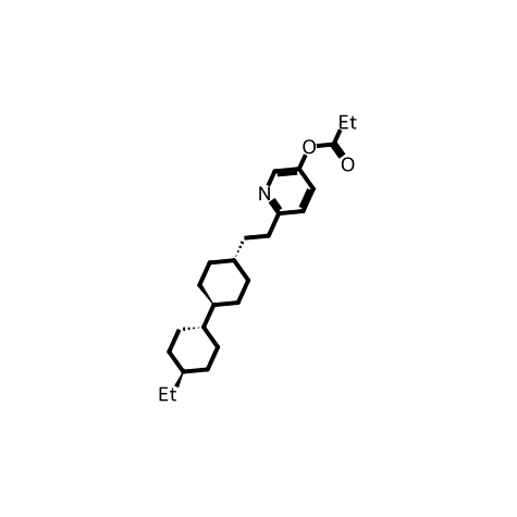 CCC(=O)Oc1ccc(CC[C@H]2CC[C@H]([C@H]3CC[C@H](CC)CC3)CC2)nc1